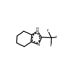 FC(F)(F)c1nc2c([nH]1)CCCC2